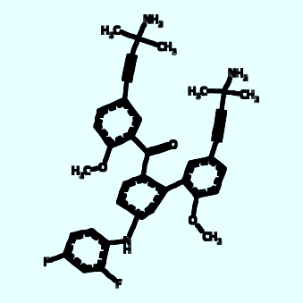 COc1ccc(C#CC(C)(C)N)cc1C(=O)c1ccc(Nc2ccc(F)cc2F)cc1-c1cc(C#CC(C)(C)N)ccc1OC